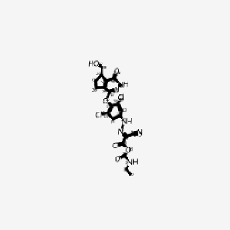 CCNC(=O)OC(=O)/C(C#N)=N/Nc1cc(Cl)c(Oc2n[nH]c(=O)c3c2CCC3CO)c(Cl)c1